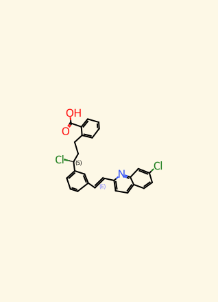 O=C(O)c1ccccc1CC[C@H](Cl)c1cccc(/C=C/c2ccc3ccc(Cl)cc3n2)c1